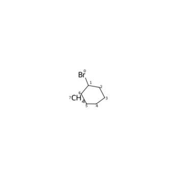 BrC1CCCCC1.C